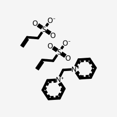 C=CCS(=O)(=O)[O-].C=CCS(=O)(=O)[O-].c1cc[n+](C[n+]2ccccc2)cc1